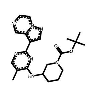 Cc1cnc(-c2cnn3ccncc23)nc1NC1CCCN(C(=O)OC(C)(C)C)C1